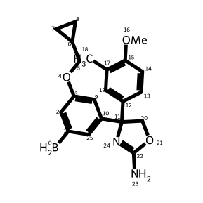 Bc1cc(OCC2CC2)cc(C2(c3ccc(OC)c(C)c3)COC(N)=N2)c1